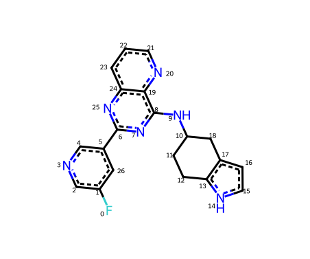 Fc1cncc(-c2nc(NC3CCc4[nH]ccc4C3)c3ncccc3n2)c1